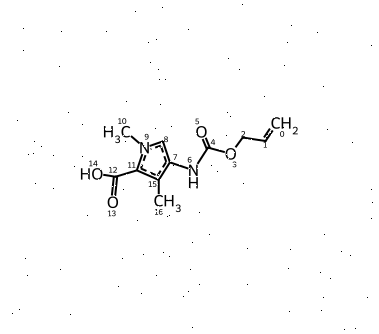 C=CCOC(=O)Nc1cn(C)c(C(=O)O)c1C